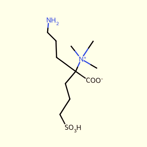 C[N+](C)(C)C(CCCN)(CCCS(=O)(=O)O)C(=O)[O-]